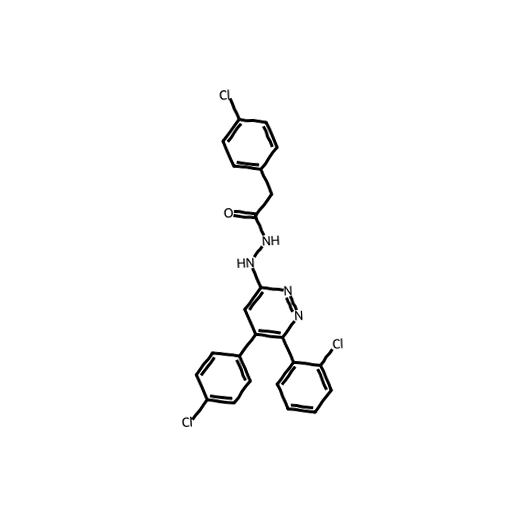 O=C(Cc1ccc(Cl)cc1)NNc1cc(-c2ccc(Cl)cc2)c(-c2ccccc2Cl)nn1